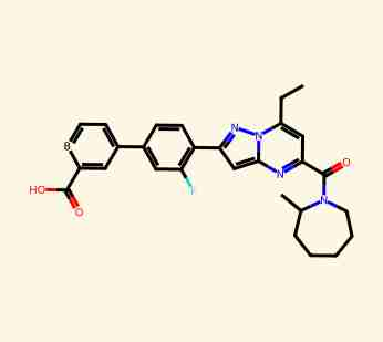 CCc1cc(C(=O)N2CCCCCC2C)nc2cc(-c3ccc(-c4ccbc(C(=O)O)c4)cc3F)nn12